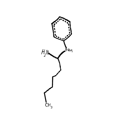 CCCCCC(N)Nc1ccccc1